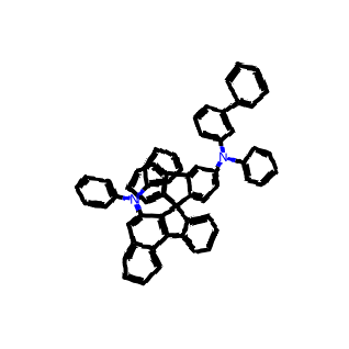 c1ccc(-c2cccc(N(c3ccccc3)c3ccc4c(c3)-c3ccccc3C43c4ccccc4-c4c3c(N(c3ccccc3)c3ccccc3)cc3ccccc43)c2)cc1